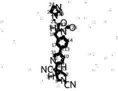 N#CN1C[C@@H]2[C@H](C1)C2(C#N)c1ccc(-c2ccc3c(c2)C[C@H]2[C@H](Cn4ccnn4)OC(=O)N32)cn1